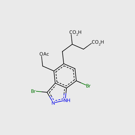 CC(=O)OCc1c(CC(CC(=O)O)C(=O)O)cc(Br)c2[nH]nc(Br)c12